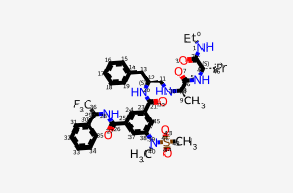 CCNC(=O)[C@@H](NC(=O)[C@H](C)NC[C@H](Cc1ccccc1)NC(=O)c1cc(C(=O)NC(c2ccccc2)C(F)(F)F)cc(N(C)S(C)(=O)=O)c1)C(C)C